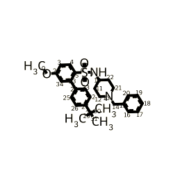 COc1ccc(S(=O)(=O)NC2CCN(Cc3ccccc3)CC2)c(-c2ccc(C(C)(C)C)cc2)c1